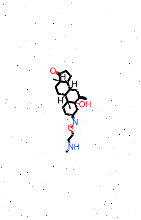 C=C1C[C@H]2[C@@H]3CCC(=O)[C@@]3(C)CC[C@@H]2[C@@]2(C)CCC(=NOCCNC)C[C@]12O